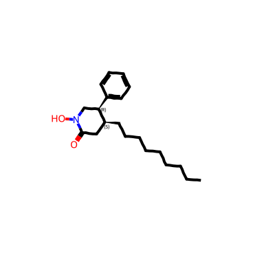 CCCCCCCCC[C@H]1CC(=O)N(O)C[C@H]1c1ccccc1